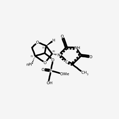 CCC[C@]12CO[C@@H](C1OP(=O)(O)OC)[C@H](n1cc(C)c(=O)[nH]c1=O)O2